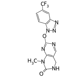 CN1C(=O)NCc2cnc(On3nnc4cc(C(F)(F)F)ccc43)nc21